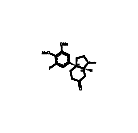 COc1cc([C@@]23CCC(=O)C[C@@H]2N(C)CC3)cc(I)c1OC